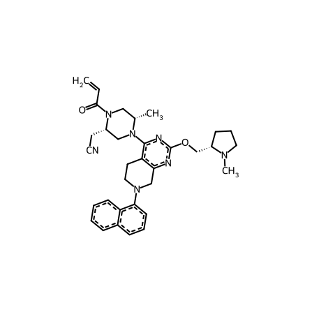 C=CC(=O)N1C[C@H](C)N(c2nc(OC[C@@H]3CCCN3C)nc3c2CCN(c2cccc4ccccc24)C3)C[C@@H]1CC#N